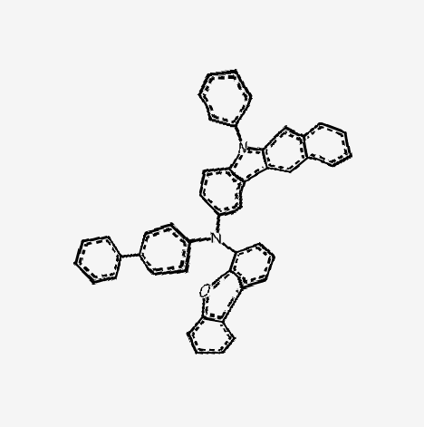 c1ccc(-c2ccc(N(c3ccc4c(c3)c3cc5ccccc5cc3n4-c3ccccc3)c3cccc4c3oc3ccccc34)cc2)cc1